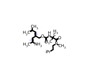 C=C(C)/C=C(\C=C(\C)N)COC(=O)NC(C)(C)C(=O)N(C)CCC(C)C